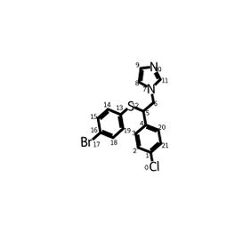 Clc1ccc(C(Cn2ccnc2)Sc2ccc(Br)cc2)cc1